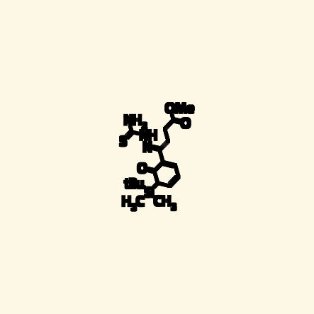 COC(=O)CCC(=NNC(N)=S)C1=CC=CC([Si](C)(C)C(C)(C)C)C1=O